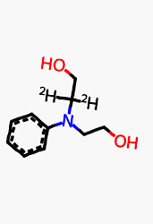 [2H]C([2H])(CO)N(CCO)c1ccccc1